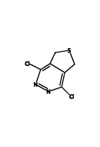 Clc1nnc(Cl)c2c1CSC2